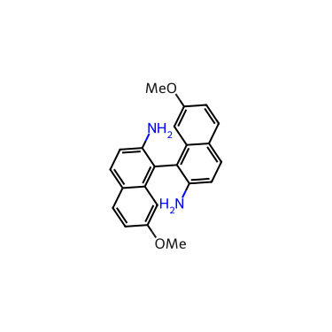 COc1ccc2ccc(N)c(-c3c(N)ccc4ccc(OC)cc34)c2c1